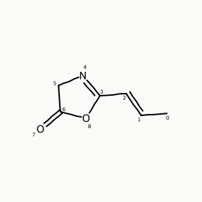 CC=CC1=NCC(=O)O1